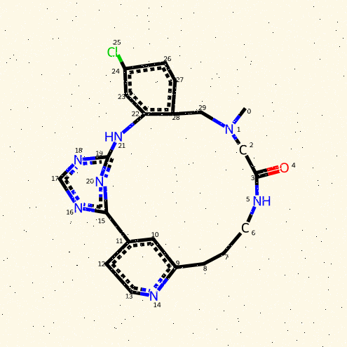 CN1CC(=O)NCCCc2cc(ccn2)-c2ncnc(n2)Nc2cc(Cl)ccc2C1